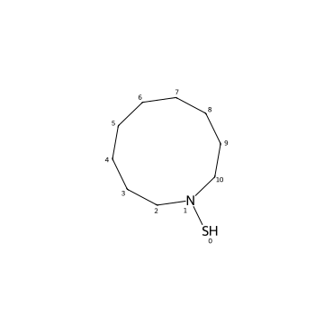 SN1CCCCCCCCC1